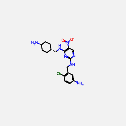 Nc1ccc(Cl)c(CNc2ncc([N+](=O)[O-])c(NC[C@H]3CC[C@H](N)CC3)n2)c1